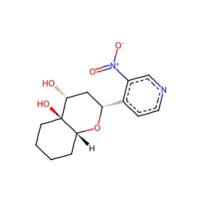 O=[N+]([O-])c1cnccc1[C@H]1C[C@@H](O)[C@@]2(O)CCCC[C@H]2O1